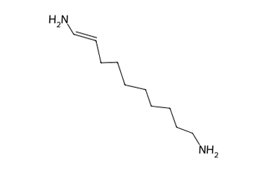 NC=CCCCCCCCCN